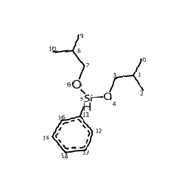 CC(C)CO[SiH](OCC(C)C)c1ccccc1